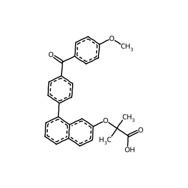 COc1ccc(C(=O)c2ccc(-c3cccc4ccc(OC(C)(C)C(=O)O)cc34)cc2)cc1